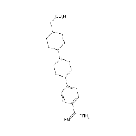 N=C(N)c1ccc(C2CCN(C3CCN(CC(=O)O)CC3)CC2)cc1